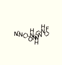 CN1CCN(c2ccc(C(=O)Nc3n[nH]c4nc(Nc5ccccc5F)ccc34)cc2)CC1